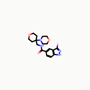 O=C(NCC1(N2CCOCC2)CCOCC1)c1ccc2[nH]nc(I)c2c1